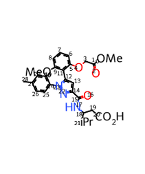 COC(=O)COc1cccc(OC)c1-c1cc(C(=O)NC(CC(=O)O)C(C)C)nn1-c1ccc(C)cc1